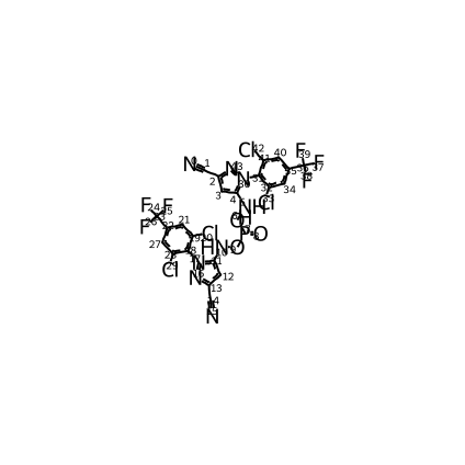 N#Cc1cc(NO[PH](=O)ONc2cc(C#N)nn2-c2c(Cl)cc(C(F)(F)F)cc2Cl)n(-c2c(Cl)cc(C(F)(F)F)cc2Cl)n1